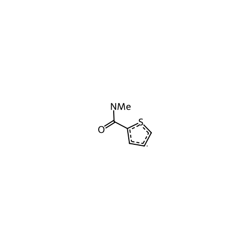 CNC(=O)c1c[c]cs1